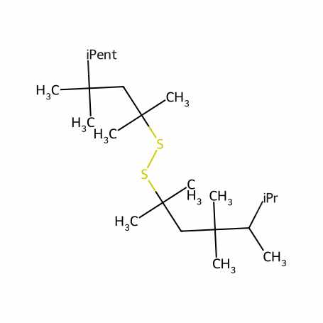 CCCC(C)C(C)(C)CC(C)(C)SSC(C)(C)CC(C)(C)C(C)C(C)C